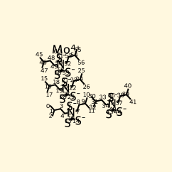 CC(C)CC[N+]([S-])(CCC(C)C)C(=S)[S-].CC(C)CC[N+]([S-])(CCC(C)C)C(=S)[S-].CC(C)CC[N+]([S-])(CCC(C)C)C(=S)[S-].CC(C)CC[N+]([S-])(CCC(C)C)C(=S)[S-].[Mo+4]